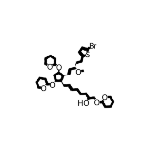 CO[C@H](C=C[C@@H]1[C@@H](CC=CCCCC(O)COC2CCCCO2)[C@@H](OC2CCCCO2)C[C@H]1OC1CCCCO1)CCc1ccc(Br)s1